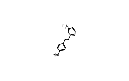 CC(C)(C)c1ccc(/C=C/c2cccc([N+](=O)[O-])c2)cc1